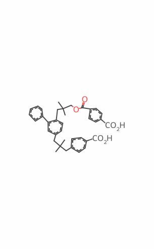 CC(C)(Cc1ccc(C(=O)O)cc1)Cc1ccc(CC(C)(C)COC(=O)c2ccc(C(=O)O)cc2)c(-c2ccccc2)c1